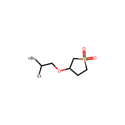 CCCCC(CC)COC1CCS(=O)(=O)C1